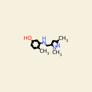 Cc1cc(CNc2cc(O)ccc2C)n(C)n1